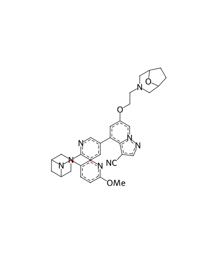 COc1ccc(CN2C3CC2CN(c2ccc(-c4cc(OCCN5CC6CCC(C5)O6)cn5ncc(C#N)c45)cn2)C3)cn1